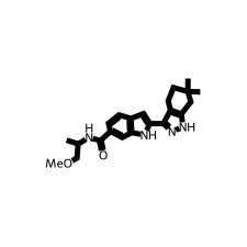 COCC(C)NC(=O)c1ccc2cc(-c3n[nH]c4c3CCC(C)(C)C4)[nH]c2c1